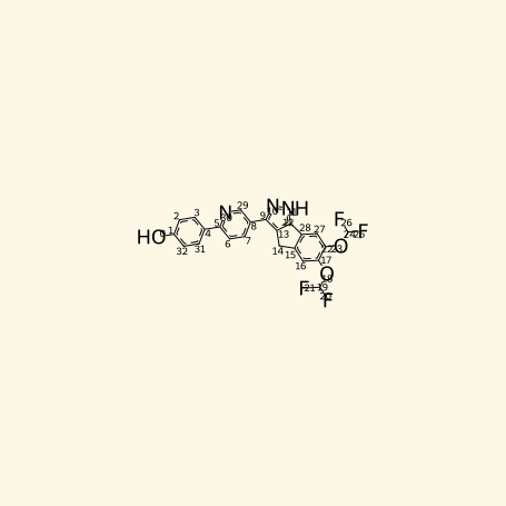 Oc1ccc(-c2ccc(-c3n[nH]c4c3Cc3cc(OC(F)F)c(OC(F)F)cc3-4)cn2)cc1